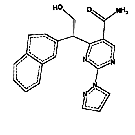 NC(=O)c1cnc(-n2cccn2)nc1[C@@H](CO)c1ccc2ccccc2c1